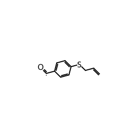 C=CCSc1ccc([C]=O)cc1